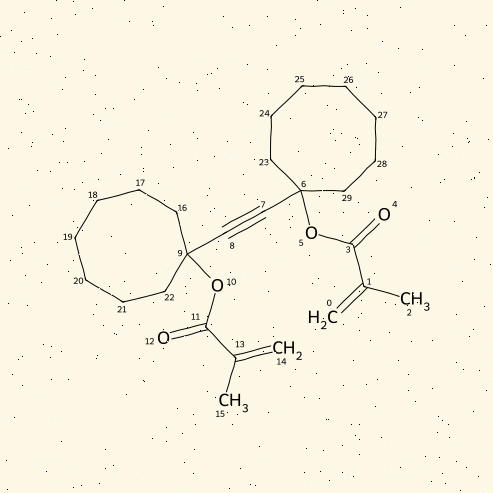 C=C(C)C(=O)OC1(C#CC2(OC(=O)C(=C)C)CCCCCCC2)CCCCCCC1